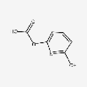 O=C(O)Oc1cccc(O)n1